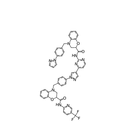 O=C(Nc1ccc(C(F)(F)F)cn1)C1CN(Cc2ccc(-n3cc(-c4ccnc(NC(=O)C5CN(Cc6ccc(-n7cccn7)cc6)c6ccccc6O5)n4)cn3)cc2)c2ccccc2O1